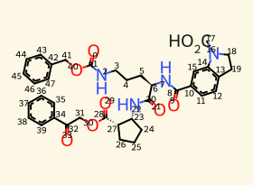 O=C(NCCC[C@@H](NC(=O)c1ccc2c(c1)N(C(=O)O)CC2)C(=O)N[C@@H]1CCC[C@@H]1C(=O)OCC(=O)c1ccccc1)OCc1ccccc1